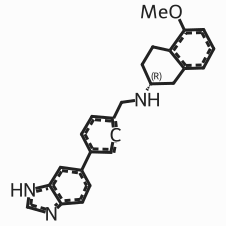 COc1cccc2c1CC[C@@H](NCc1ccc(-c3ccc4nc[nH]c4c3)cc1)C2